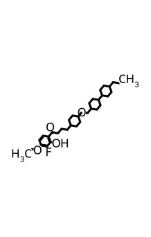 CCCC1CCC(C2CCC(COC3CCC(CCCC(=O)c4ccc(OCC)c(F)c4O)CC3)CC2)CC1